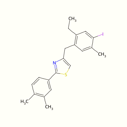 CCc1cc(I)c(C)cc1Cc1csc(-c2ccc(C)c(C)c2)n1